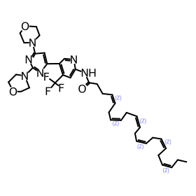 CC/C=C\C/C=C\C/C=C\C/C=C\C/C=C\C/C=C\CCC(=O)Nc1cc(C(F)(F)F)c(-c2cc(N3CCOCC3)nc(N3CCOCC3)n2)cn1